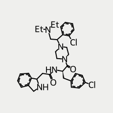 CCN(CC)CC(c1ccccc1Cl)N1CCN(C(=O)[C@@H](Cc2ccc(Cl)cc2)NC(=O)CC2NCc3ccccc32)CC1